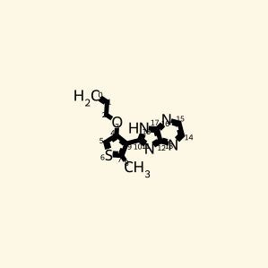 C=CCOc1csc(C)c1-c1nc2nccnc2[nH]1